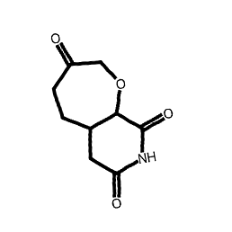 O=C1CCC2CC(=O)NC(=O)C2OC1